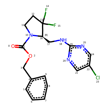 O=C(OCc1ccccc1)N1CCC(F)(F)[C@H]1CNc1ncc(Cl)cn1